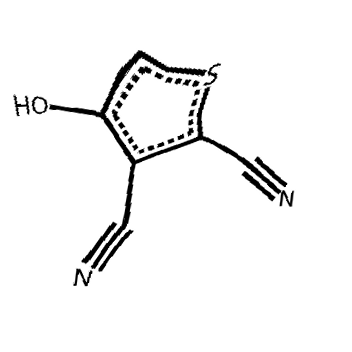 N#Cc1scc(O)c1C#N